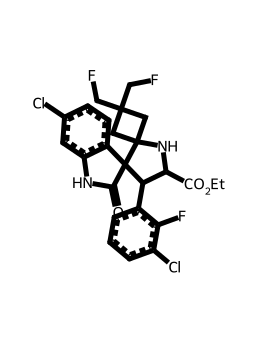 CCOC(=O)C1NC2(CC(CF)(CF)C2)C2(C(=O)Nc3cc(Cl)ccc32)C1c1cccc(Cl)c1F